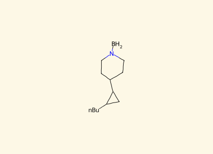 BN1CCC(C2CC2CCCC)CC1